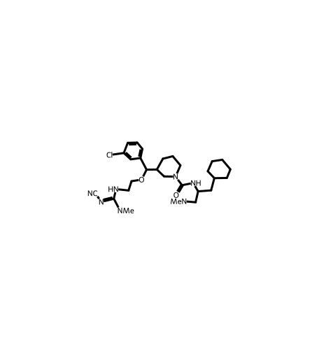 CNCC(CC1CCCCC1)NC(=O)N1CCCC(C(OCCN/C(=N\C#N)NC)c2cccc(Cl)c2)C1